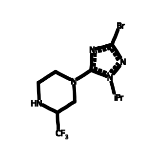 CC(C)n1nc(Br)nc1N1CCNC(C(F)(F)F)C1